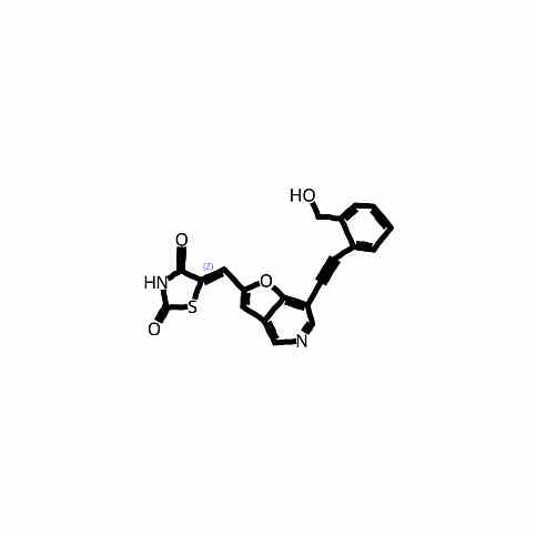 O=C1NC(=O)/C(=C/c2cc3cncc(C#Cc4ccccc4CO)c3o2)S1